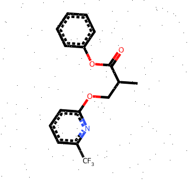 CC(COc1cccc(C(F)(F)F)n1)C(=O)Oc1ccccc1